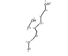 CCO.CCOCCOCCOC(C)=O